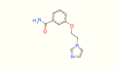 NC(=O)c1cccc(OCCn2ccnc2)c1